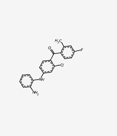 Cc1cc(F)ccc1C(=O)c1ccc(Nc2ccccc2N)cc1Cl